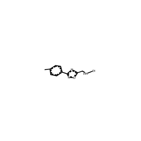 CCNCc1nc(-c2ccc(C)cc2)no1